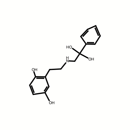 Oc1ccc(O)c(CCNCC(O)(O)c2ccccc2)c1